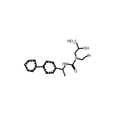 CC(C)CN(CC(O)C(=O)O)C(=O)NC(C)c1ccc(-c2ccccc2)cc1